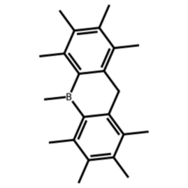 CB1c2c(C)c(C)c(C)c(C)c2Cc2c(C)c(C)c(C)c(C)c21